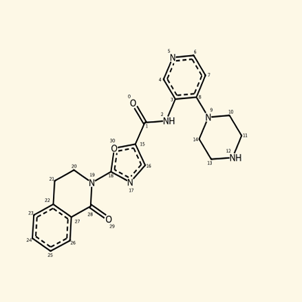 O=C(Nc1cnccc1N1CCNCC1)c1cnc(N2CCc3ccccc3C2=O)o1